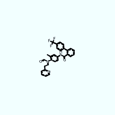 Cc1cc(NC(=O)c2ccccc2-c2ccc(C(F)(F)F)cc2)ccc1N(C=O)CCc1ccccn1